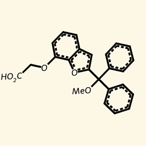 COC(c1ccccc1)(c1ccccc1)c1cc2cccc(OCC(=O)O)c2o1